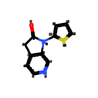 O=C1Cc2ccncc2N1c1cccs1